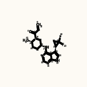 C=CC(=O)N1C[C@H](Nc2ncnc3[nH]cc([C@@H]4CC4(F)F)c23)CC[C@@H]1C